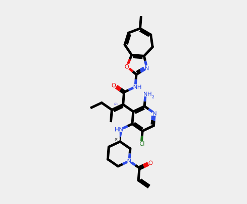 C=CC(=O)N1CCC[C@@H](Nc2c(Cl)cnc(N)c2/C(C(=O)Nc2nc3c(o2)C=CC(C)=CC3)=C(\C)CC)C1